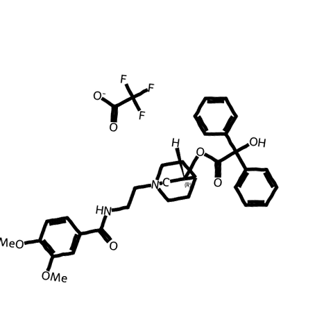 COc1ccc(C(=O)NCC[N+]23CCC(CC2)[C@@H](OC(=O)C(O)(c2ccccc2)c2ccccc2)C3)cc1OC.O=C([O-])C(F)(F)F